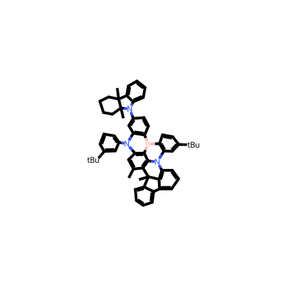 Cc1cc2c3c4c1C1(C)c5ccccc5-c5cccc(c51)N4c1cc(C(C)(C)C)ccc1B3c1ccc(N3c4ccccc4C4(C)CCCCC34C)cc1N2c1cccc(C(C)(C)C)c1